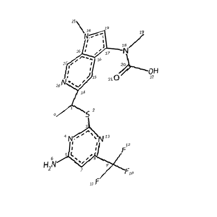 CC(Sc1nc(N)cc(C(F)(F)F)n1)c1cc2c(N(C)C(=O)O)cn(C)c2cn1